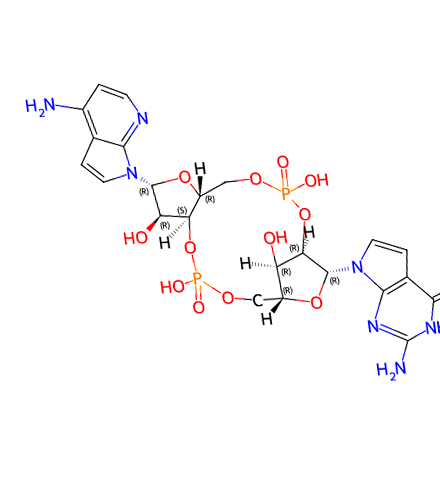 Nc1nc2c(ccn2[C@@H]2O[C@@H]3COP(=O)(O)O[C@H]4[C@@H](O)[C@H](n5ccc6c(N)ccnc65)O[C@@H]4COP(=O)(O)O[C@@H]2[C@@H]3O)c(=O)[nH]1